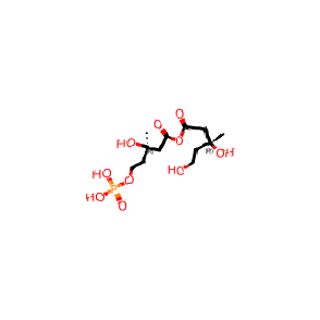 C[C@@](O)(CCO)CC(=O)OC(=O)C[C@](C)(O)CCOP(=O)(O)O